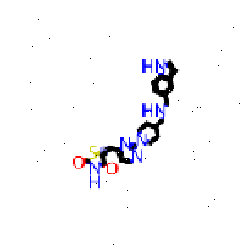 O=C1NC(=O)/C(=C\c2ccnc(N3CCC(CNCc4ccc5[nH]ccc5c4)CC3)n2)S1